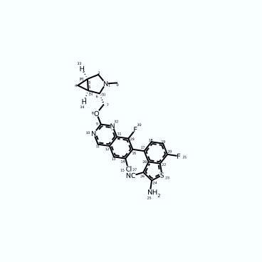 CN1C[C@@H]2C[C@@H]2[C@H]1COc1ncc2cc(Cl)c(-c3ccc(F)c4sc(N)c(C#N)c34)c(F)c2n1